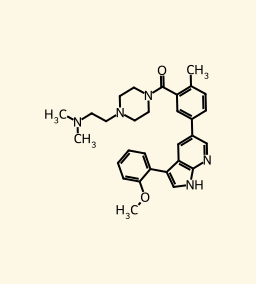 COc1ccccc1-c1c[nH]c2ncc(-c3ccc(C)c(C(=O)N4CCN(CCN(C)C)CC4)c3)cc12